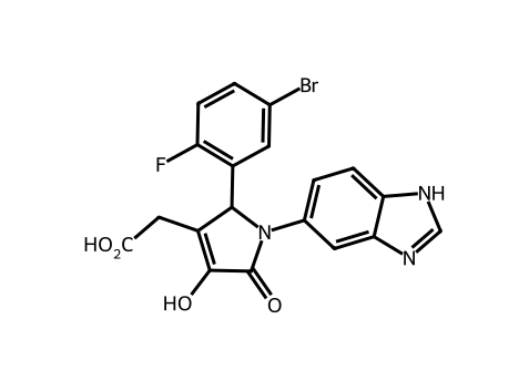 O=C(O)CC1=C(O)C(=O)N(c2ccc3[nH]cnc3c2)C1c1cc(Br)ccc1F